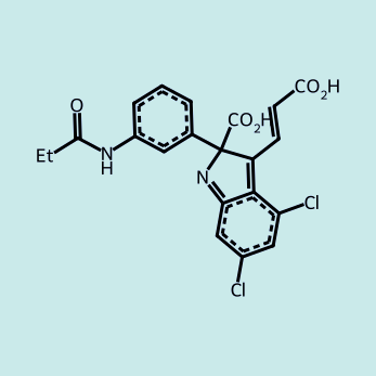 CCC(=O)Nc1cccc(C2(C(=O)O)N=c3cc(Cl)cc(Cl)c3=C2C=CC(=O)O)c1